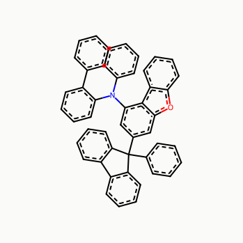 c1ccc(-c2ccccc2N(c2ccccc2)c2cc(C3(c4ccccc4)c4ccccc4-c4ccccc43)cc3oc4ccccc4c23)cc1